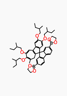 CCC(C)COC1=CC2=C(CC(C)=C1OCC(C)CC)C1(c3cc(OCC(C)CC)c(OCC(C)CC)cc32)c2cc(B3OCCO3)ccc2-c2ccc(B3OCCO3)cc21